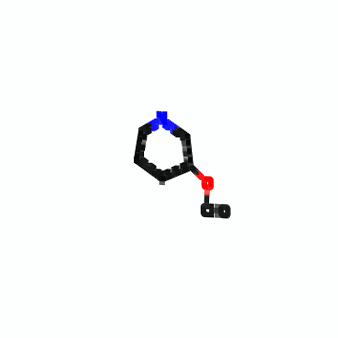 O=COc1[c]ccnc1